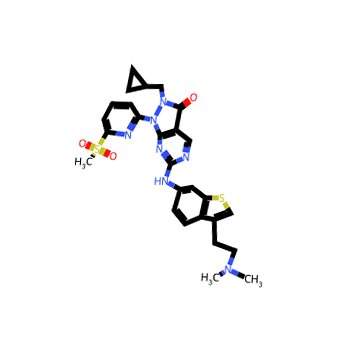 CN(C)CCc1csc2cc(Nc3ncc4c(=O)n(CC5CC5)n(-c5cccc(S(C)(=O)=O)n5)c4n3)ccc12